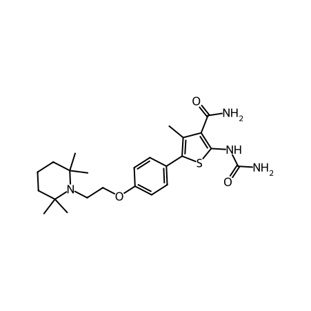 Cc1c(-c2ccc(OCCN3C(C)(C)CCCC3(C)C)cc2)sc(NC(N)=O)c1C(N)=O